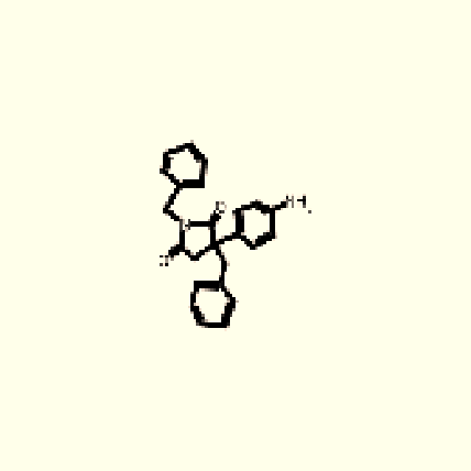 Nc1ccc(C2(Cc3ccccc3)CC(=O)N(Cc3ccccc3)C2=O)cc1